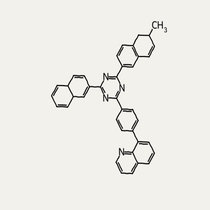 CC1C=Cc2cc(-c3nc(C4=CC5C=CC=CC5C=C4)nc(-c4ccc(-c5cccc6cccnc56)cc4)n3)ccc2C1